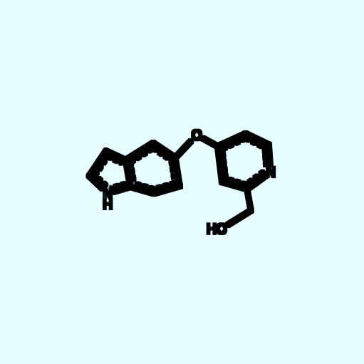 OCc1cc(Oc2ccc3[nH]ccc3c2)ccn1